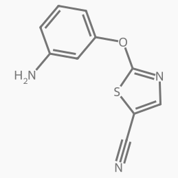 N#Cc1cnc(Oc2cccc(N)c2)s1